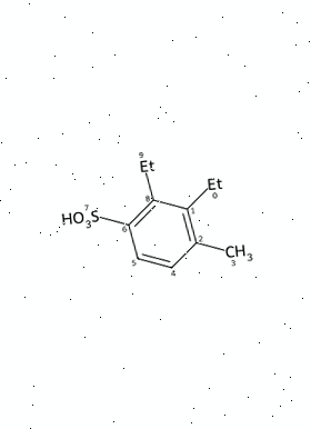 CCc1c(C)ccc(S(=O)(=O)O)c1CC